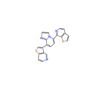 c1cc2scc(-c3ccc(-c4nccc5ccsc45)n4ccnc34)c2cn1